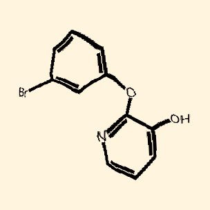 Oc1cccnc1Oc1cccc(Br)c1